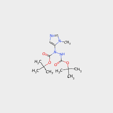 Cn1cncc1N(NC(=O)OC(C)(C)C)C(=O)OC(C)(C)C